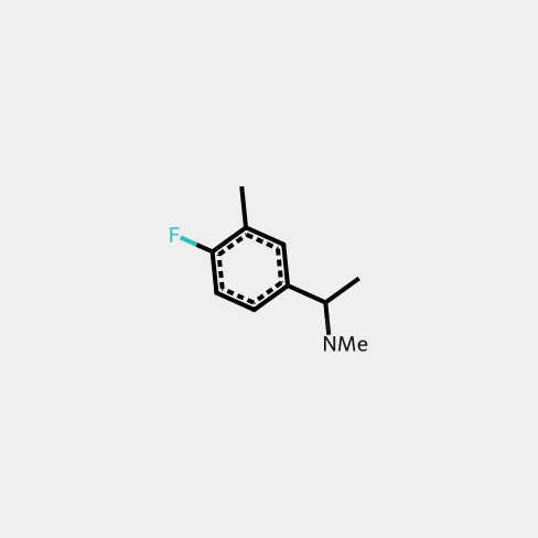 CNC(C)c1ccc(F)c(C)c1